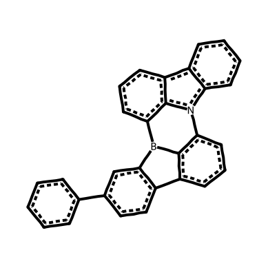 c1ccc(-c2ccc3c(c2)B2c4c-3cccc4-n3c4ccccc4c4cccc2c43)cc1